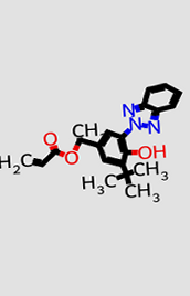 C=CC(=O)OC(C)c1cc(-n2nc3ccccc3n2)c(O)c(C(C)(C)C)c1